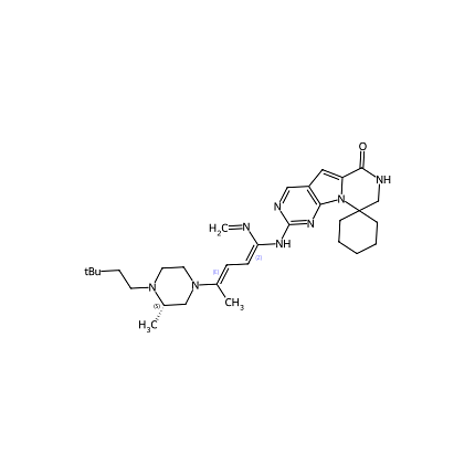 C=N/C(=C\C=C(/C)N1CCN(CCC(C)(C)C)[C@@H](C)C1)Nc1ncc2cc3n(c2n1)C1(CCCCC1)CNC3=O